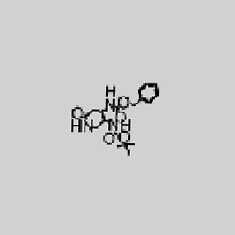 CC(C)(C)OC(=O)NC1CNC(=O)CC1NC(=O)OCc1ccccc1